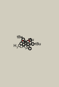 CC(C)(C)c1ccc(N2c3cc(C(C)(C)C)cc4c3B(c3ccc5c6c3N4c3ccc(C(C)(C)C)cc3C6(C)CCC5(C)C)c3sc4ccccc4c32)c(C2=CCCC=C2)c1